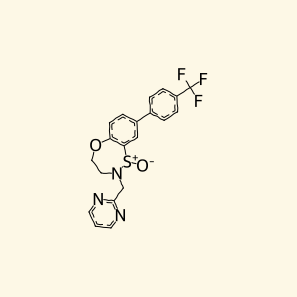 [O-][S+]1c2cc(-c3ccc(C(F)(F)F)cc3)ccc2OCCN1Cc1ncccn1